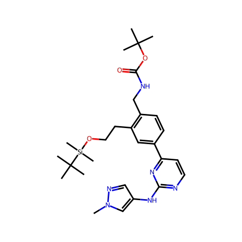 Cn1cc(Nc2nccc(-c3ccc(CNC(=O)OC(C)(C)C)c(CCO[Si](C)(C)C(C)(C)C)c3)n2)cn1